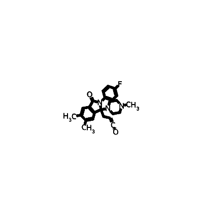 Cc1cc2c(cc1C)C(CC=C=O)(N1CCN(C)CC1)N(c1ccc(F)cc1)C2=O